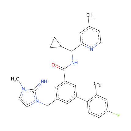 Cc1ccnc(C(NC(=O)c2cc(Cn3ccn(C)c3=N)cc(-c3ccc(F)cc3C(F)(F)F)c2)C2CC2)c1